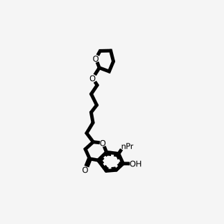 CCCc1c(O)ccc2c1OC(CCCCCCOC1CCCCO1)CC2=O